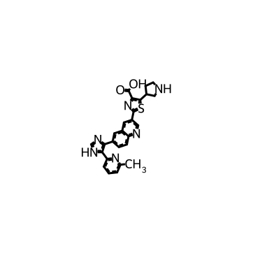 Cc1cccc(-c2[nH]cnc2-c2ccc3ncc(-c4nc(C(=O)O)c(C5CCNC5)s4)cc3c2)n1